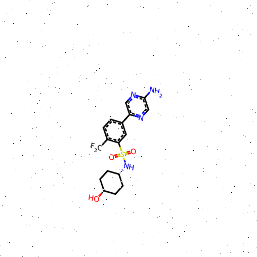 Nc1cnc(-c2ccc(C(F)(F)F)c(S(=O)(=O)N[C@H]3CC[C@H](O)CC3)c2)cn1